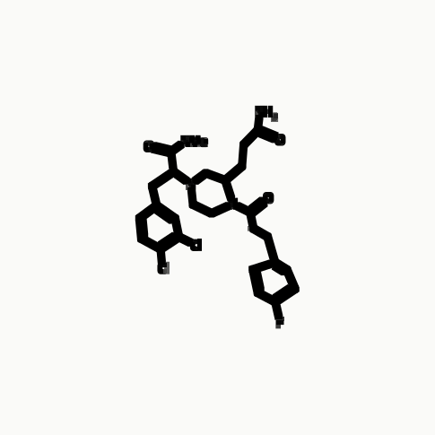 CNC(=O)C(Cc1ccc(Cl)c(Cl)c1)N1CCN(C(=O)[CH]Cc2ccc(F)cc2)C(CCC(N)=O)C1